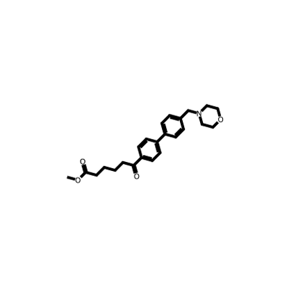 COC(=O)CCCCC(=O)c1ccc(-c2ccc(CN3CCOCC3)cc2)cc1